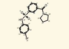 O=C(c1cccc(S(=O)(=O)Nc2ccc(Br)cc2)c1)N1CCCC1